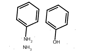 N.Nc1ccccc1.Oc1ccccc1